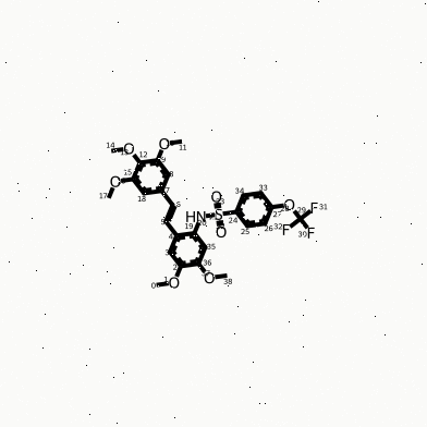 COc1cc(C=Cc2cc(OC)c(OC)c(OC)c2)c(NS(=O)(=O)c2ccc(OC(F)(F)F)cc2)cc1OC